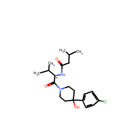 CC(C)CC(=O)N[C@@H](C(=O)N1CCC(O)(c2ccc(Cl)cc2)CC1)C(C)C